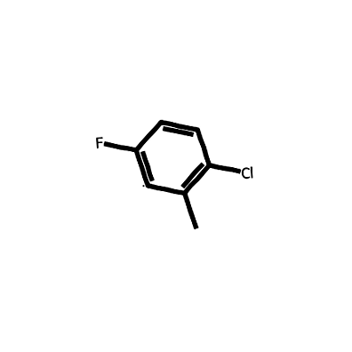 Cc1[c]c(F)ccc1Cl